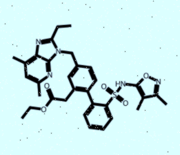 CCOC(=O)Cc1cc(Cn2c(CC)nc3c(C)cc(C)nc32)ccc1-c1ccccc1S(=O)(=O)Nc1onc(C)c1C